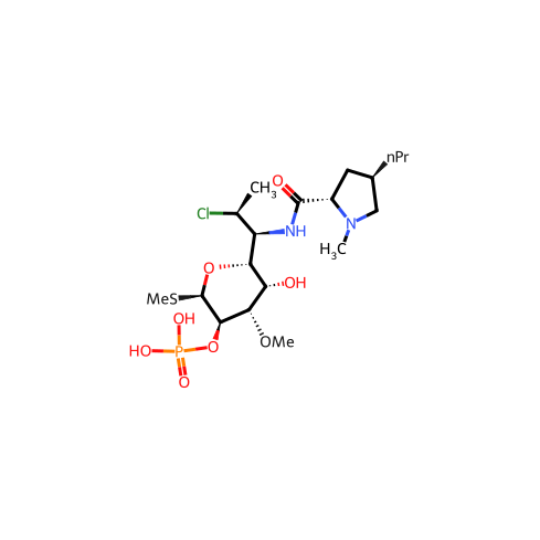 CCC[C@@H]1C[C@@H](C(=O)N[C@@H]([C@H]2O[C@H](SC)[C@H](OP(=O)(O)O)[C@@H](OC)[C@H]2O)[C@H](C)Cl)N(C)C1